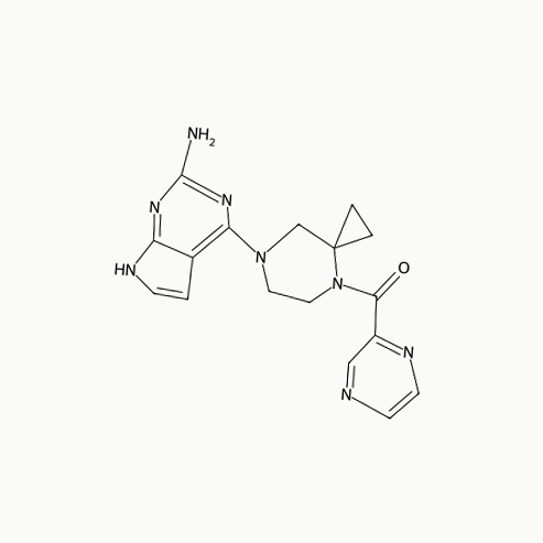 Nc1nc(N2CCN(C(=O)c3cnccn3)C3(CC3)C2)c2cc[nH]c2n1